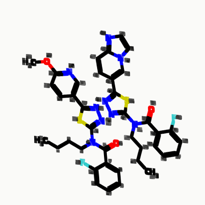 CCCCN(C(=O)c1ccccc1F)c1nnc(-c2ccc(OC)nc2)s1.CCCCN(C(=O)c1ccccc1F)c1nnc(-c2ccc3nccn3c2)s1